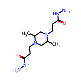 CC1CN(CCC(=O)NN)C(C)CN1CCC(=O)NN